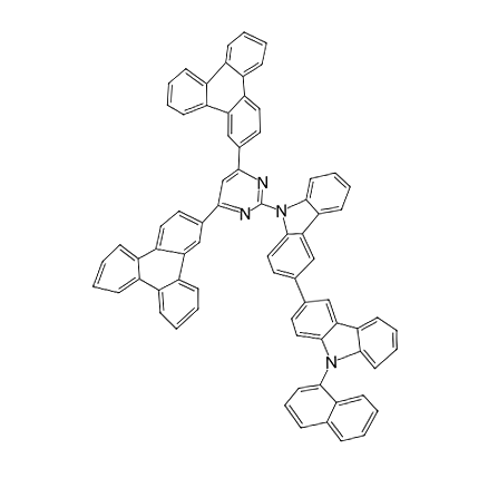 c1ccc2c(-n3c4ccccc4c4cc(-c5ccc6c(c5)c5ccccc5n6-c5nc(-c6ccc7c8ccccc8c8ccccc8c7c6)cc(-c6ccc7c8ccccc8c8ccccc8c7c6)n5)ccc43)cccc2c1